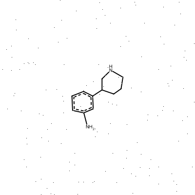 Nc1cc[c]c(C2CCCNC2)c1